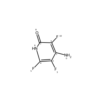 Nc1c(F)c(F)[nH]c(=O)c1F